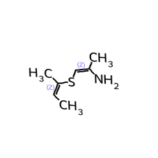 C/C=C(/C)S/C=C(/C)N